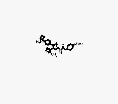 CC(=O)NC1CCC(CC(=O)Nc2cnc(-c3ccc(C4(N)CCC4)cc3)c(-c3ccsc3C)c2)CC1